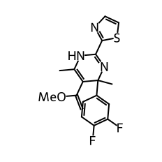 C=C(OC)C1=C(C)NC(c2nccs2)=NC1(C)c1ccc(F)c(F)c1